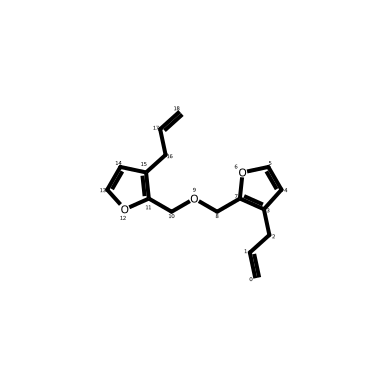 C=CCc1ccoc1COCc1occc1CC=C